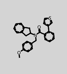 COc1ccc(CN(C(=O)c2ccccc2-c2ccsc2)C2Cc3ccccc3C2)cc1